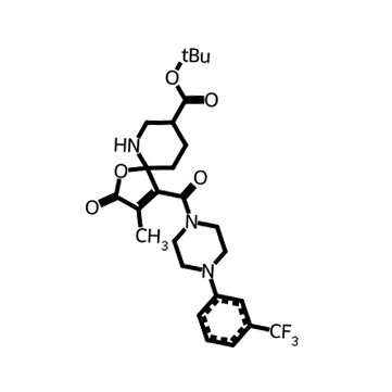 CC1=C(C(=O)N2CCN(c3cccc(C(F)(F)F)c3)CC2)C2(CCC(C(=O)OC(C)(C)C)CN2)OC1=O